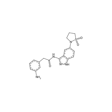 Nc1cccc(CC(=O)Nc2n[nH]c3ccc(N4CCCS4(=O)=O)cc23)c1